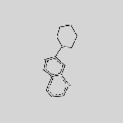 [c]1cc2cccnc2cc1N1CCCCC1